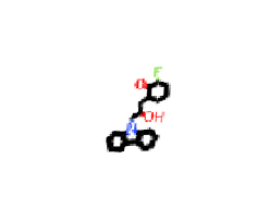 O=C1C(F)CCCC1CC(O)Cn1c2ccccc2c2ccccc21